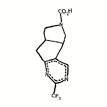 O=C(O)N1CC2Cc3nc(C(F)(F)F)ncc3C2C1